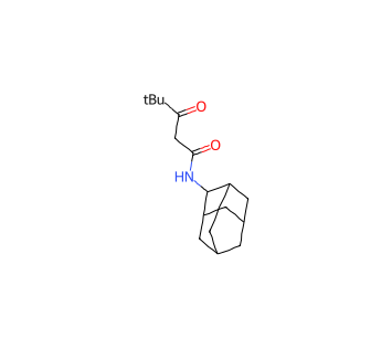 CC(C)(C)C(=O)CC(=O)NC1C2CC3CC(C2)CC1C3